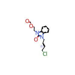 O=COCCn1c(=O)n(C/C=C/CCl)c2ccccc21